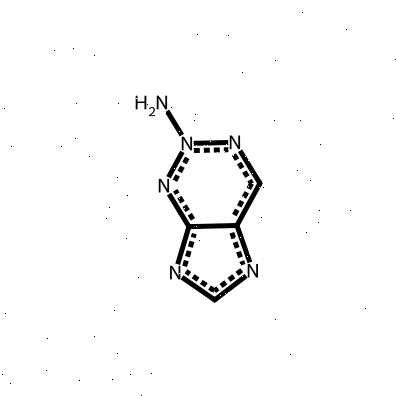 Nn1ncc2ncnc-2n1